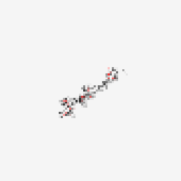 CC1(C)c2ccccc2C2(c3ccccc3Sc3c(-c4cnc5c(ccc6cc(CC7(C)c8ccccc8C8(c9ccccc9Oc9c(-c%10nc%11ccc(CC%12(C)c%13ccccc%13C%13(c%14ccccc%14Oc%14cc(P(=O)(c%15ccccc%15)c%15ccccc%15)ccc%14%13)c%13ccccc%13%12)cc%11n%10-c%10ccccc%10)cccc98)c8ccccc87)cnc65)c4)cccc32)c2ccccc21